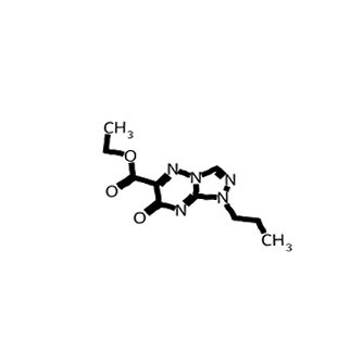 CCCn1ncn2nc(C(=O)OCC)c(=O)nc12